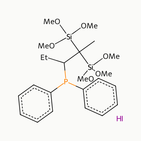 CCC(P(c1ccccc1)c1ccccc1)C(C)([Si](OC)(OC)OC)[Si](OC)(OC)OC.I